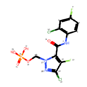 O=C(Nc1ccc(F)cc1Cl)c1c(F)c(Cl)nn1COP(=O)(O)O